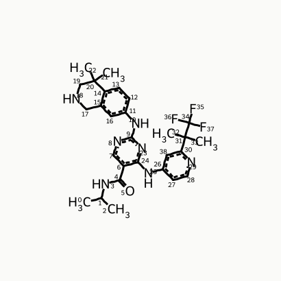 CC(C)NC(=O)c1cnc(Nc2ccc3c(c2)CNCC3(C)C)nc1Nc1ccnc(C(C)(C)C(F)(F)F)c1